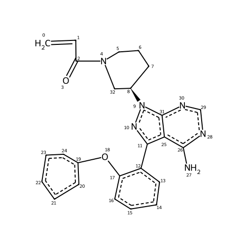 C=CC(=O)N1CCC[C@@H](n2nc(-c3ccccc3Oc3ccccc3)c3c(N)ncnc32)C1